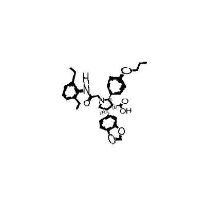 CCCOc1ccc([C@H]2[C@@H](C(=O)O)[C@H](c3ccc4c(c3)OCO4)CN2CC(=O)Nc2c(CC)cccc2CC)cc1